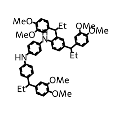 CCC(c1ccc(Nc2ccc(Nc3ccc(C(CC)c4ccc(OC)c(OC)c4)cc3C(CC)c3ccc(OC)c(OC)c3)cc2)cc1)c1ccc(OC)c(OC)c1